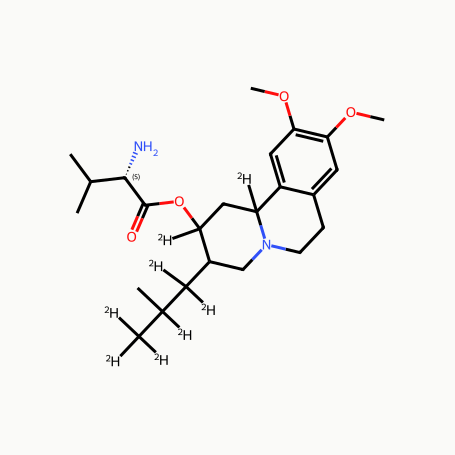 [2H]C1(OC(=O)[C@@H](N)C(C)C)CC2([2H])c3cc(OC)c(OC)cc3CCN2CC1C([2H])([2H])C([2H])(C)C([2H])([2H])[2H]